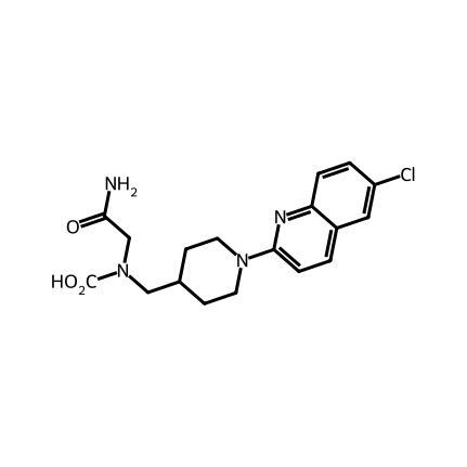 NC(=O)CN(CC1CCN(c2ccc3cc(Cl)ccc3n2)CC1)C(=O)O